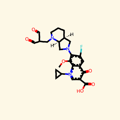 COc1c(N2C[C@@H]3CCCN(CC(C=O)C=O)[C@@H]3C2)c(F)cc2c(=O)c(C(=O)O)cn(C3CC3)c12